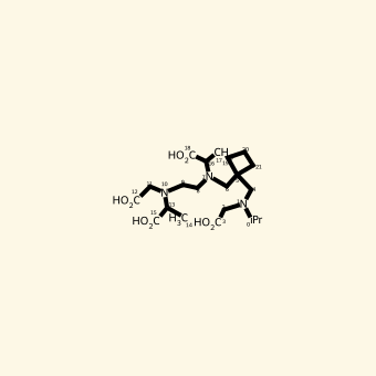 CC(C)N(CC(=O)O)CC1(CN(CCN(CC(=O)O)C(C)C(=O)O)C(C)C(=O)O)CCC1